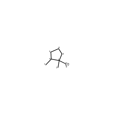 C[CH]C1(C)CCCC1C